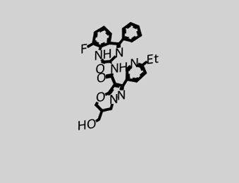 CCc1ccc(-c2nn3c(c2C(=O)N[C@H]2N=C(c4ccccc4)c4cccc(F)c4NC2=O)OCC(CO)C3)cn1